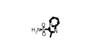 Cc1nc2ccccn2c1S(N)(=O)=O